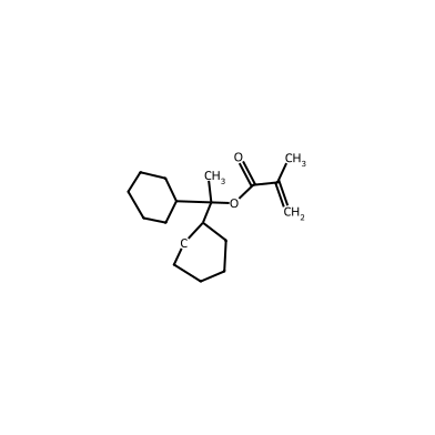 C=C(C)C(=O)OC(C)(C1CCCCC1)C1CCCCC1